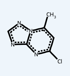 Cc1cc(Cl)nc2ncnn12